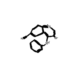 N#Cc1ccc2ncc(Br)c(Nc3ccccc3)c2c1